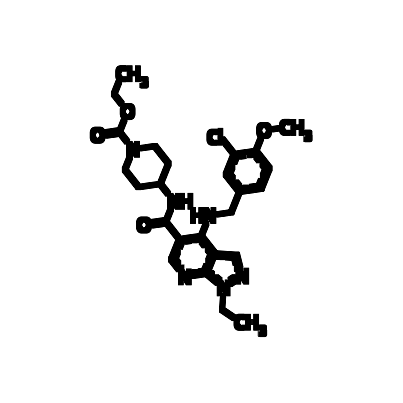 CCOC(=O)N1CCC(NC(=O)c2cnc3c(cnn3CC)c2NCc2ccc(OC)c(Cl)c2)CC1